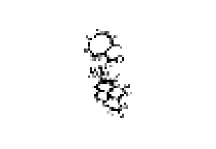 O=C(Nc1cc2c3c4c(ccc3c1)C=CCC4=CC2)C1CCCCCCC1